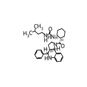 CC(C)CCNC(=O)N[C@@H]1CCCC[C@@H]1C(=O)N1CC[C@@H]2[C@H](c3ccccc3)Nc3ccccc3[C@@H]21